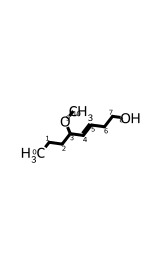 CCCC(C=CCCO)OC